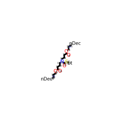 CCCCCCCCCC/C=C/COC(=O)CCCN(CCCC(=O)OC/C=C/CCCCCCCCCC)C(=O)SCC